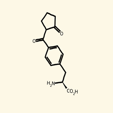 N[C@@H](Cc1ccc(C(=O)C2CCCC2=O)cc1)C(=O)O